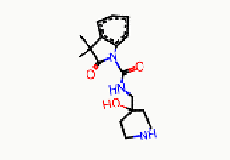 CC1(C)C(=O)N(C(=O)NCC2(O)CCNCC2)c2ccccc21